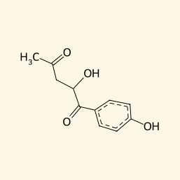 CC(=O)CC(O)C(=O)c1ccc(O)cc1